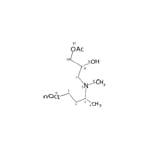 CCCCCCCCCCC(C)N(C)CC(O)COC(C)=O